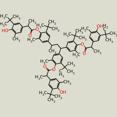 Cc1cc(C(C)C(=O)Oc2c(C)cc(C(C)CC(c3cc(C)c(OC(=O)C(C)c4cc(C)c(O)c(C(C)(C)C)c4)c(C(C)(C)C)c3)c3cc(C)c(OC(=O)C(C)c4cc(C)c(O)c(C(C)(C)C)c4)c(C(C)(C)C)c3)cc2C(C)(C)C)cc(C(C)(C)C)c1O